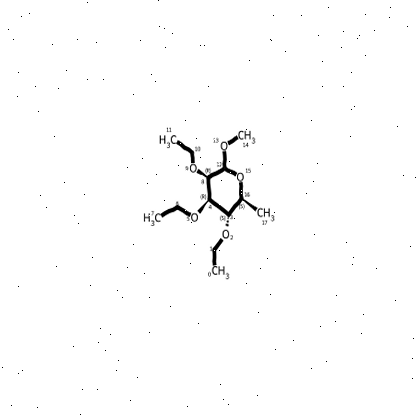 CCO[C@@H]1[C@@H](OCC)[C@@H](OCC)C(OC)O[C@H]1C